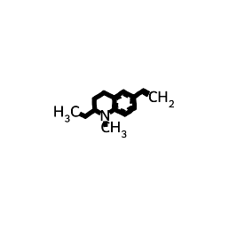 C=Cc1ccc2c(c1)CCC(CC)N2C